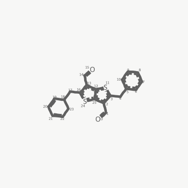 O=Cc1c(Cc2ccccc2)sc2c(C=O)c(CC3C=CC=CC3)sc12